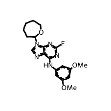 COc1cc(Nc2nc(F)nc3c2ncn3C2CCCCCO2)cc(OC)c1